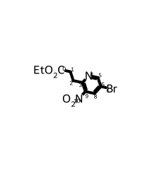 CCOC(=O)CCc1ncc(Br)cc1[N+](=O)[O-]